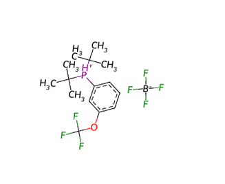 CC(C)(C)[PH+](c1cccc(OC(F)(F)F)c1)C(C)(C)C.F[B-](F)(F)F